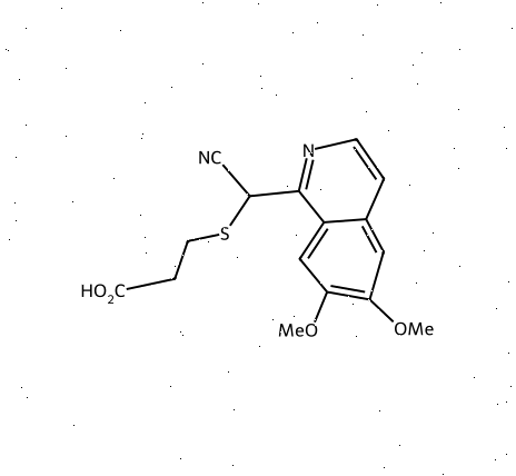 COc1cc2ccnc(C(C#N)SCCC(=O)O)c2cc1OC